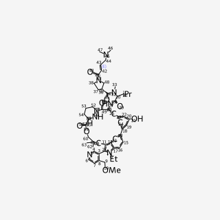 CCn1c(-c2cnccc2COC)c2c3cc(ccc31)-c1cc(O)cc(c1)C[C@H](NC(=O)C(C(C)C)N(C)C(=O)[C@H]1CCN(C(=O)/C=C/CN(C)C)C1)C(=O)N1CCC[C@H](N1)C(=O)OCC(C)(C)C2